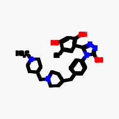 CC(C)c1cc(-c2nnc(O)n2-c2ccc(CC3CCN(CC4CCN(C(=O)O)CC4)CC3)cc2)c(O)cc1O